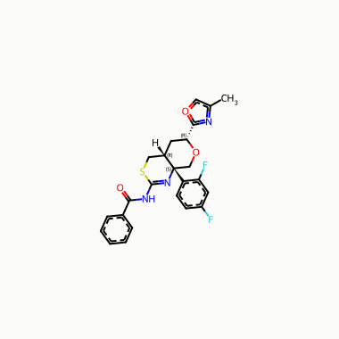 Cc1coc([C@H]2C[C@H]3CSC(NC(=O)c4ccccc4)=N[C@@]3(c3ccc(F)cc3F)CO2)n1